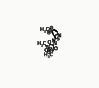 CCN1C(=O)C(N=Nc2snc3ccc(S(C)(=O)=O)cc23)C(=O)N(CC)S1(=O)=O